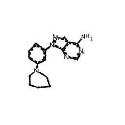 Nc1ncnc2c1cnn2-c1cccc(N2CCCCC2)c1